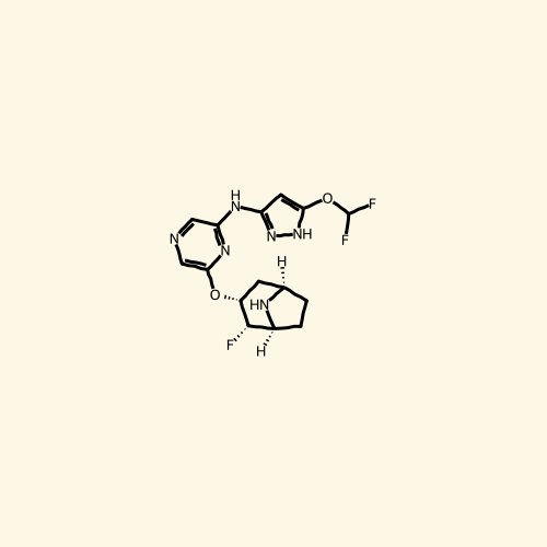 FC(F)Oc1cc(Nc2cncc(O[C@@H]3C[C@H]4CC[C@H](N4)[C@@H]3F)n2)n[nH]1